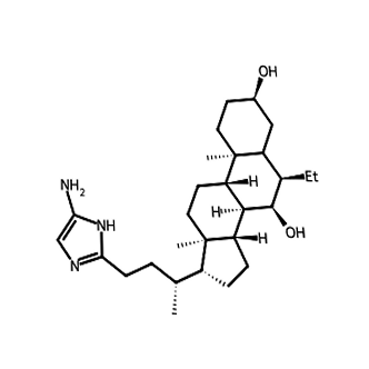 CC[C@@H]1C2C[C@H](O)CC[C@]2(C)[C@H]2CC[C@]3(C)[C@@H]([C@H](C)CCc4ncc(N)[nH]4)CC[C@H]3[C@@H]2[C@@H]1O